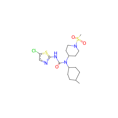 CC1CCC(N(C(=O)Nc2ncc(Cl)s2)C2CCN(S(C)(=O)=O)CC2)CC1